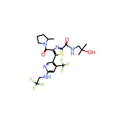 CC1CCCN1C(=O)c1nc(C(=O)NCC(C)(C)O)sc1-c1cnc(NCC(F)(F)F)cc1C(F)(F)F